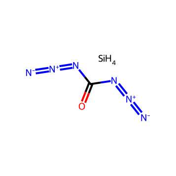 [N-]=[N+]=NC(=O)N=[N+]=[N-].[SiH4]